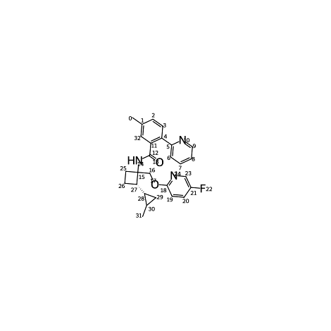 Cc1ccc(-c2ccccn2)c(C(=O)NC2(COc3ccc(F)cn3)CC[C@H]2C2CC2C)c1